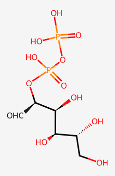 O=C[C@@H](OP(=O)(O)OP(=O)(O)O)[C@@H](O)[C@H](O)[C@H](O)CO